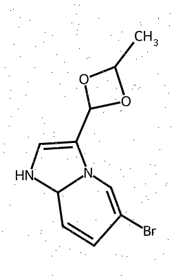 CC1OC(C2=CNC3C=CC(Br)=CN23)O1